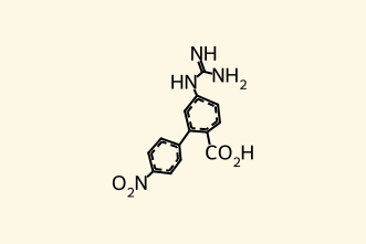 N=C(N)Nc1ccc(C(=O)O)c(-c2ccc([N+](=O)[O-])cc2)c1